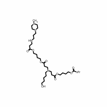 CCCC(=O)OCCCCOC(=O)CCN(CCCCCO)CCC(=O)OCCCCOC(=O)CCNCCCN1CCN(C)CC1